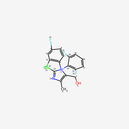 CC1=C(CO)[N+](c2ccc(F)cc2Cl)(c2c(F)cccc2F)C(Cl)=N1